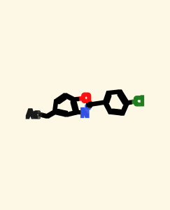 CC(=O)Cc1ccc2oc(-c3ccc(Cl)cc3)nc2c1